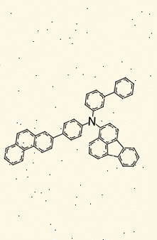 c1ccc(-c2cccc(N(c3ccc(-c4ccc5c(ccc6ccccc65)c4)cc3)c3ccc4c5c(cccc35)-c3ccccc3-4)c2)cc1